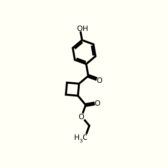 CCOC(=O)C1CCC1C(=O)c1ccc(O)cc1